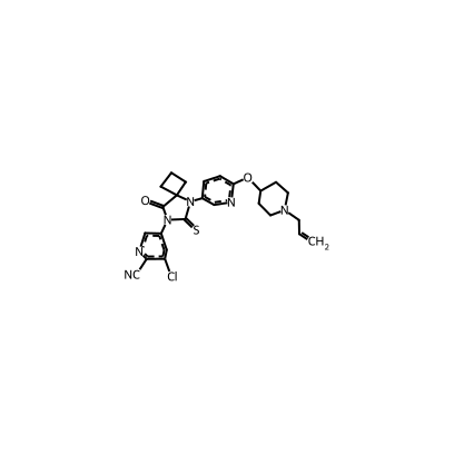 C=CCN1CCC(Oc2ccc(N3C(=S)N(c4cnc(C#N)c(Cl)c4)C(=O)C34CCC4)cn2)CC1